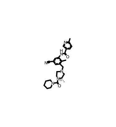 Cc1ccc(C(=O)Nc2cc(C#N)cc(CN3CCN(C(=O)N4CCCCC4)[C@@H](C)C3)c2C)cn1